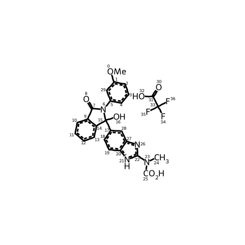 COc1cccc(N2C(=O)c3ccccc3C2(O)c2ccc3[nH]c(N(C)C(=O)O)nc3c2)c1.O=C(O)C(F)(F)F